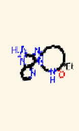 CCC1CCCCCc2nc3c(N)nc4cccnc4c3n2CCNC1=O